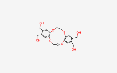 OCc1cc2c(cc1CO)OCCOc1cc(CO)c(CO)cc1OCCO2